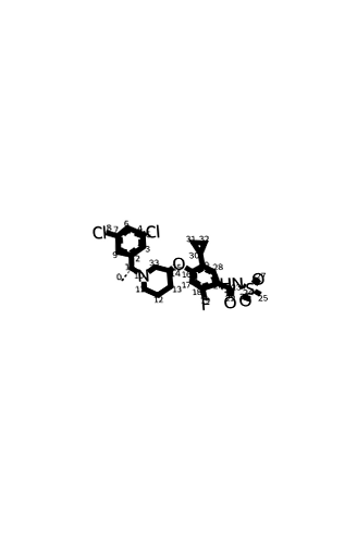 C[C@H](c1cc(Cl)cc(Cl)c1)N1CCCC(Oc2cc(F)c(C(=O)NS(C)(=O)=O)cc2C2CC2)C1